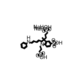 CC1(CCCS(=O)(=O)O)C(/C=C/C=C/Nc2ccccc2)=[N+](CCCS(=O)(=O)O)c2ccc(S(=O)(=O)O)cc21.[NaH].[NaH]